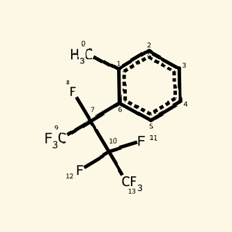 Cc1[c]cccc1C(F)(C(F)(F)F)C(F)(F)C(F)(F)F